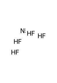 F.F.F.F.[N]